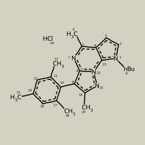 CCCCn1ccc2c(C)nc3c(-c4c(C)cc(C)cc4C)c(C)nn3c21.Cl